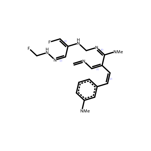 C=N/C=C(/C=C\c1cccc(NC)c1)C(=N/CNC(/C=N\NCF)=C/F)\NC